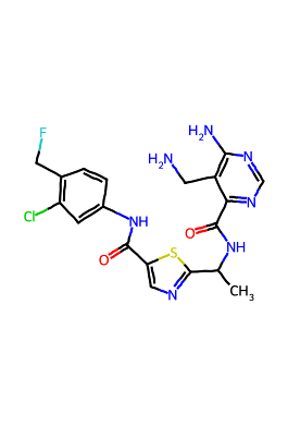 CC(NC(=O)c1ncnc(N)c1CN)c1ncc(C(=O)Nc2ccc(CF)c(Cl)c2)s1